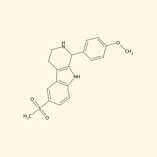 COc1ccc(C2NCCc3c2[nH]c2ccc(S(C)(=O)=O)cc32)cc1